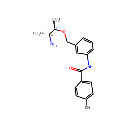 N#Cc1ccc(C(=O)Nc2cccc(CO[C@H](C(=O)O)[C@H](N)C(=O)O)c2)cc1